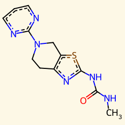 CNC(=O)Nc1nc2c(s1)CN(c1ncccn1)CC2